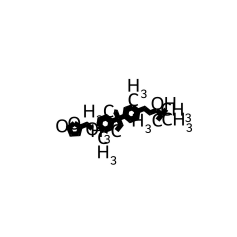 CCC(CC)(c1ccc(CCC(O)C(C)(C)C)c(C)c1)c1ccc(OCC2CCC(=O)O2)c(C)c1